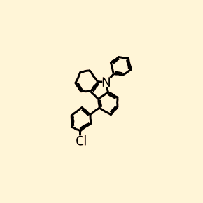 Clc1cccc(-c2cccc3c2c2c(n3-c3ccccc3)CCC=C2)c1